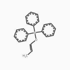 CC=CO[Si](c1ccccc1)(c1ccccc1)c1ccccc1